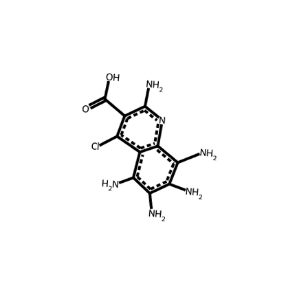 Nc1nc2c(N)c(N)c(N)c(N)c2c(Cl)c1C(=O)O